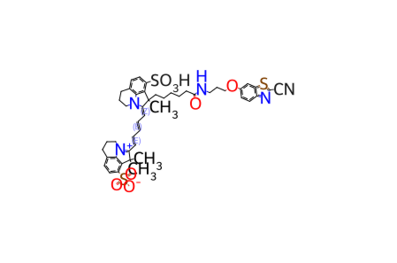 CC1(C)C(/C=C/C=C/C=C2\N3CCCc4ccc(S(=O)(=O)O)c(c43)C2(C)CCCCCC(=O)NCCCOc2ccc3nc(C#N)sc3c2)=[N+]2CCCc3ccc(S(=O)(=O)[O-])c1c32